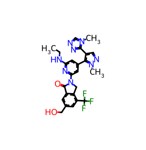 CCNc1cc(-c2c(-c3nncn3C)cnn2C)cc(N2Cc3c(cc(CO)cc3C(F)(F)F)C2=O)n1